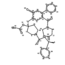 C[C@H](CC(=O)N1CCC(Cn2cc(C(=O)N3CCNCC3)c(-c3ccccc3)cc2=O)(OC(=O)C(C)(C)C)CC1)c1ccccc1